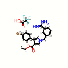 CCOC(=O)c1cn(Cc2cccc(C(=N)N)c2)cc1-c1ccc(Br)cc1.O=C(O)C(F)(F)F